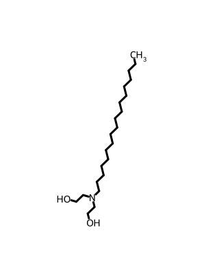 CCCCCCCCCCCCCCCCCCN(CCO)CCO